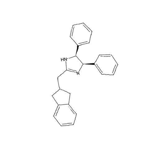 c1ccc([C@H]2N=C(CC3Cc4ccccc4C3)N[C@H]2c2ccccc2)cc1